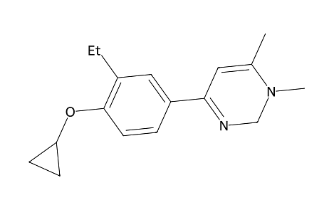 CCc1cc(C2=NCN(C)C(C)=C2)ccc1OC1CC1